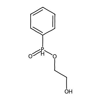 O=[PH](OCCO)c1ccccc1